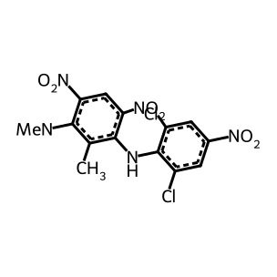 CNc1c([N+](=O)[O-])cc([N+](=O)[O-])c(Nc2c(Cl)cc([N+](=O)[O-])cc2Cl)c1C